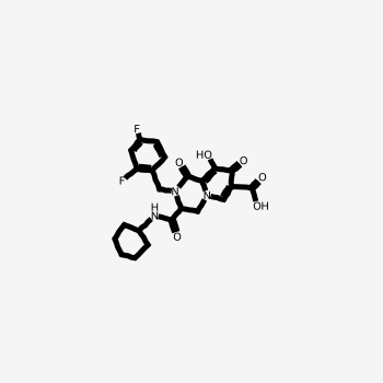 O=C(O)c1cn2c(c(O)c1=O)C(=O)N(Cc1ccc(F)cc1F)C(C(=O)NC1CCCCC1)C2